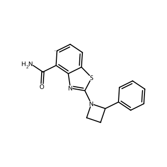 NC(=O)c1[c]ccc2sc(N3CCC3c3ccccc3)nc12